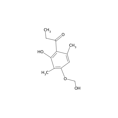 CCC(=O)c1c(C)cc(OCO)c(C)c1O